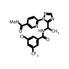 CNC(=O)c1ccc(-n2ncnc2C(C)NC(=O)c2cc(Cl)cc(C(F)(F)F)c2)nc1